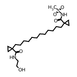 CS(=O)(=O)NC(=O)C1(CCCCCCCCCCCCC2(C(=O)NCCO)CC2)CC1